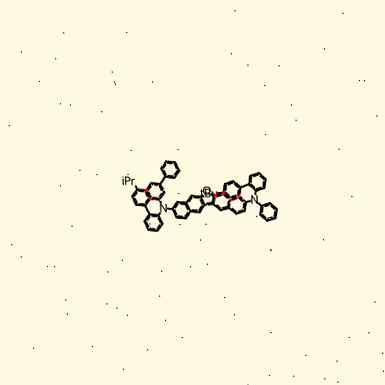 CC(C)c1ccc(-c2ccccc2N(c2cccc(-c3ccccc3)c2)c2ccc3cc4c(cc3c2)oc2cc3cc(N(c5ccccc5)c5ccccc5-c5ccc(C(C)(C)C)cc5)ccc3cc24)cc1